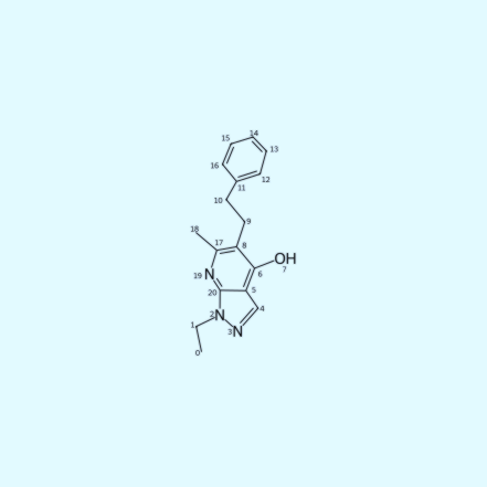 CCn1ncc2c(O)c(CCc3ccccc3)c(C)nc21